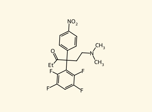 CCC(=O)C(CCN(C)C)(c1ccc([N+](=O)[O-])cc1)c1c(F)c(F)cc(F)c1F